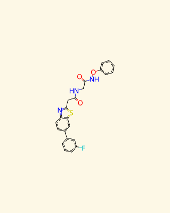 O=C(Cc1nc2ccc(-c3cccc(F)c3)cc2s1)NCC(=O)NOc1ccccc1